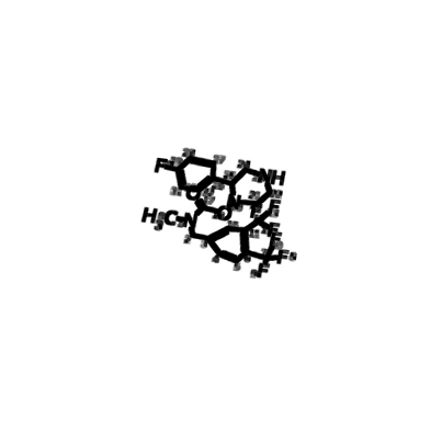 CN(Cc1ccc(C(F)(F)F)c(C(F)(F)F)c1)C(=O)ON1CCNCC1c1ccc(F)cc1